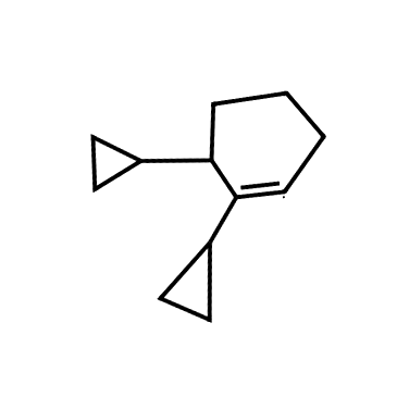 [C]1=C(C2CC2)C(C2CC2)CCC1